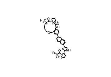 CC(C)[C@H](C)C(=O)N1CCC[C@H]1c1nc(-c2ccc3cc(-c4ccc5c(c4)COCCCC[C@H](C)C(=O)N4CCC[C@H]4C(=O)N5)ccc3c2)c[nH]1